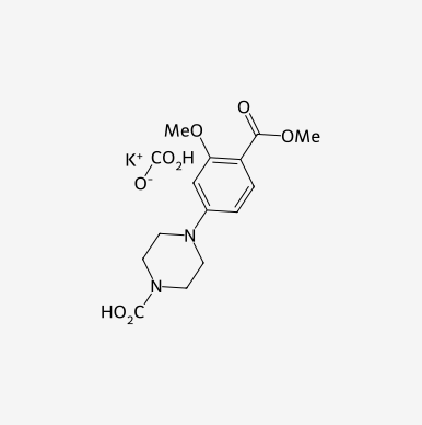 COC(=O)c1ccc(N2CCN(C(=O)O)CC2)cc1OC.O=C([O-])O.[K+]